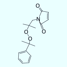 CC(C)(CN1C(=O)C=CC1=O)OOC(C)(C)c1ccccc1